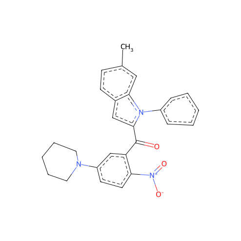 Cc1ccc2cc(C(=O)c3cc(N4CCCCC4)ccc3[N+](=O)[O-])n(-c3ccccc3)c2c1